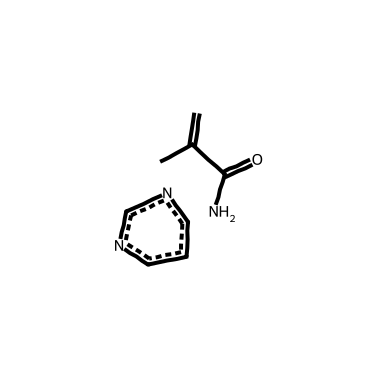 C=C(C)C(N)=O.c1cncnc1